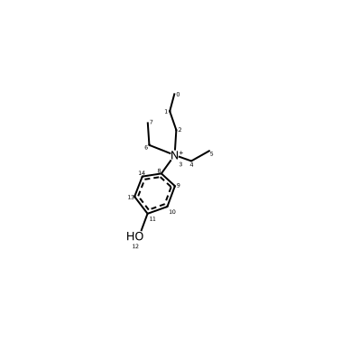 CCC[N+](CC)(CC)c1ccc(O)cc1